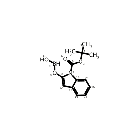 CC(C)(C)OC(=O)n1c(OBO)cc2ccccc21